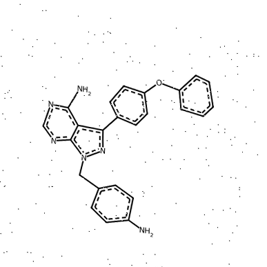 Nc1ccc(Cn2nc(-c3ccc(Oc4ccccc4)cc3)c3c(N)ncnc32)cc1